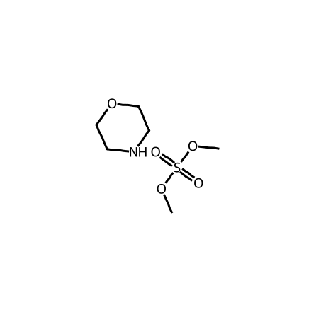 C1COCCN1.COS(=O)(=O)OC